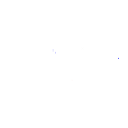 O=C1C=C(N2CCC3(CCNCC3)C2=O)CO1